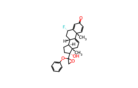 C[C@]12C=CC(=O)C=C1[C@@H](F)C[C@@H]1C2=CC[C@@]2(C)[C@H]1CC[C@]2(O)C1(Oc2ccccc2)CO1